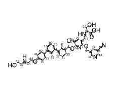 Cc1c(COc2nc(OCc3cncc(C#N)c3)c(CNC(CO)C(=O)O)cc2Cl)cccc1-c1cccc(-c2ccc(OCCNCCO)cc2)c1C